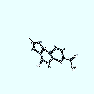 Cc1nc2c(=O)[nH]c3cc(C(=O)O)ccc3c2s1